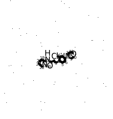 O=C(/C=C/c1ccc(N2CCOCC2)cc1Cl)Nc1ccccn1